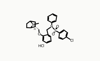 CN1C2CCC1[C@@H](COc1ccccc1CN(c1ccccc1)S(=O)(=O)c1ccc(Cl)cc1)C2.Cl